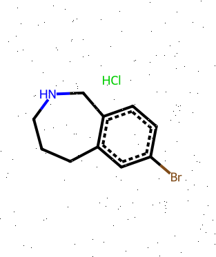 Brc1ccc2c(c1)CCCNC2.Cl